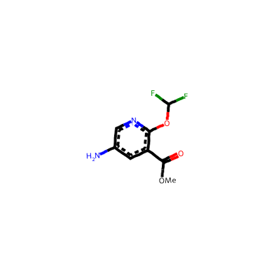 COC(=O)c1cc(N)cnc1OC(F)F